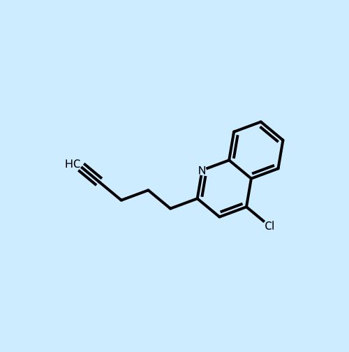 C#CCCCc1cc(Cl)c2ccccc2n1